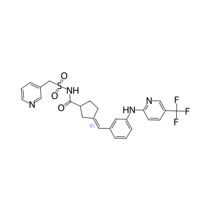 O=C(NS(=O)(=O)Cc1cccnc1)C1CC/C(=C\c2cccc(Nc3ccc(C(F)(F)F)cn3)c2)C1